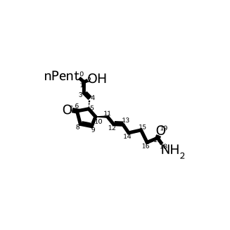 CCCCCC(O)C=C[C@H]1C(=O)C=C[C@@H]1CC=CCCCC(N)=O